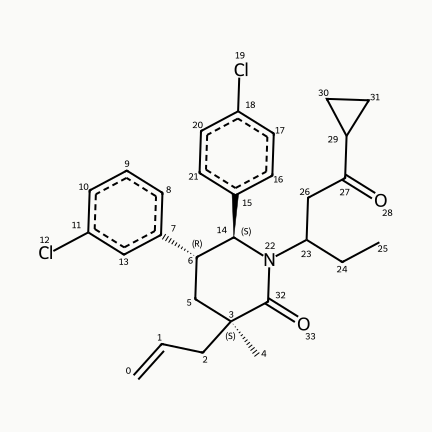 C=CC[C@@]1(C)C[C@H](c2cccc(Cl)c2)[C@@H](c2ccc(Cl)cc2)N(C(CC)CC(=O)C2CC2)C1=O